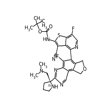 CN(C)C[C@]1(c2ncc3c4c(c(-c5ncc(F)c6sc(NC(=O)OC(C)(C)C)c(C#N)c56)c(F)c3n2)COC4)CCCN1